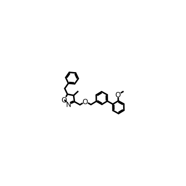 COc1ccccc1-c1cccc(COCC2=NOC(Cc3ccccc3)C2C)c1